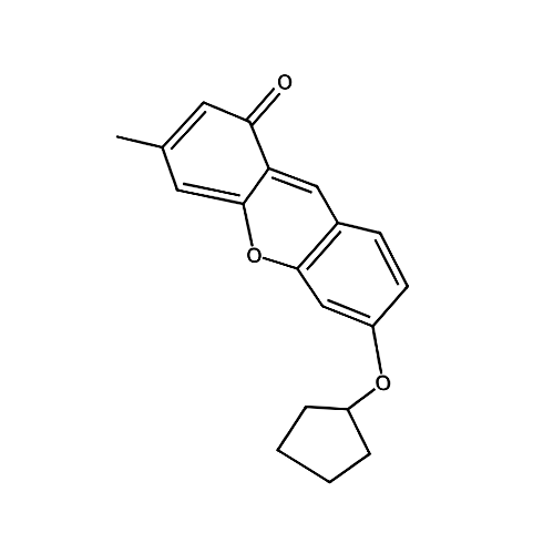 Cc1cc2oc3cc(OC4CCCC4)ccc3cc-2c(=O)c1